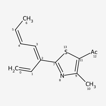 C=C/C(=C\C=C/C)c1nc(C)c(C(C)=O)s1